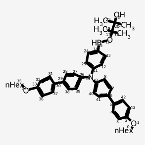 CCCCCCOc1ccc(-c2ccc(N(c3ccc(BOC(C)(C)C(C)(C)O)cc3)c3ccc(-c4ccc(OCCCCCC)cc4)cc3)cc2)cc1